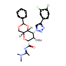 CO[C@@H]1[C@@H](n2cc(-c3ccc(Cl)c(F)c3)nn2)[C@H]2OC(c3ccccc3)OC[C@H]2O[C@H]1C(=O)/N=C(\C)N(C)C